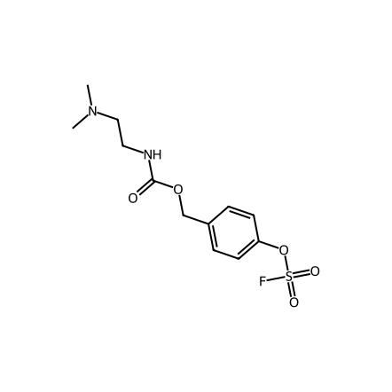 CN(C)CCNC(=O)OCc1ccc(OS(=O)(=O)F)cc1